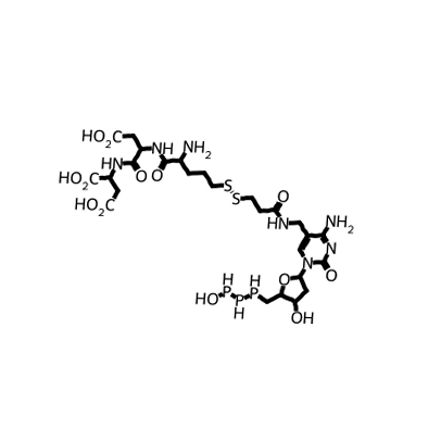 Nc1nc(=O)n(C2CC(O)C(CPPPO)O2)cc1CNC(=O)CCSSCCCC(N)C(=O)NC(CC(=O)O)C(=O)NC(CC(=O)O)C(=O)O